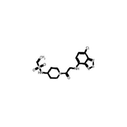 C=CS(=O)(=O)NC1CCN(C(=O)CNc2ccc(Cl)c3nsnc23)CC1